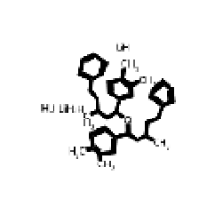 Cc1ccc(C(CC(C)CCc2ccccc2)OC(CC(C)CCc2ccccc2)c2ccc(C)c(C)c2)cc1C.[LiH].[LiH].[LiH].[LiH]